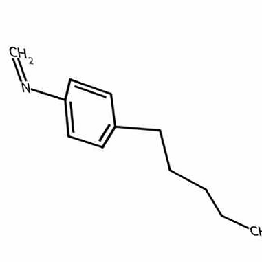 C=Nc1ccc(CCCCC)cc1